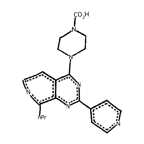 CCCc1nccc2c(N3CCN(C(=O)O)CC3)nc(-c3ccncc3)nc12